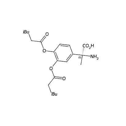 CCC(C)CC(=O)Oc1ccc([C@](C)(N)C(=O)O)cc1OC(=O)CC(C)CC